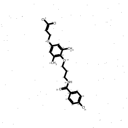 Cc1cc(OCC=C(Cl)Cl)cc(C)c1OCCCNC(=O)c1ccc(Cl)cc1